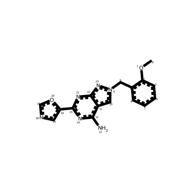 COc1ccccc1Cn1cc2c(N)nc(-c3cnco3)nc2n1